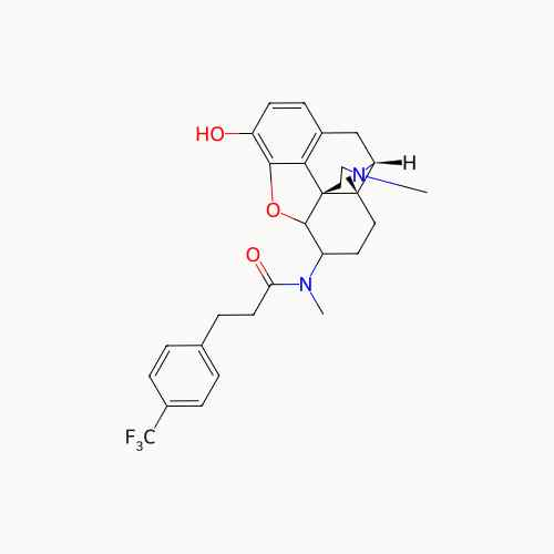 CN(C(=O)CCc1ccc(C(F)(F)F)cc1)C1CC[C@@]2(C)[C@H]3Cc4ccc(O)c5c4[C@@]2(CCN3C)C1O5